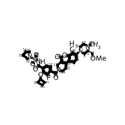 COC[C@H]1CN(c2ccc3c4c(c(=O)oc3c2C)CN(C(=O)c2ccc(C(=O)NS(=O)(=O)N3CCCC3)c(OC3CCC3)c2F)CC4)CCN1C